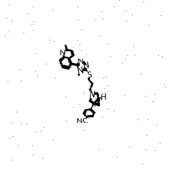 Cc1ccc2c(-c3nnc(SCCCN4C[C@@H]5C[C@]5(c5ccc(C#N)cc5)C4)n3C)cccc2n1